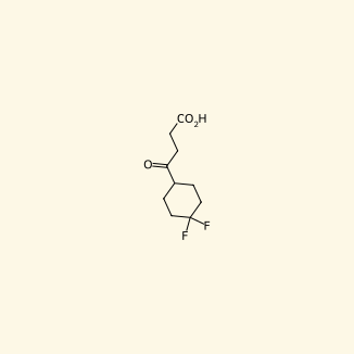 O=C(O)CCC(=O)C1CCC(F)(F)CC1